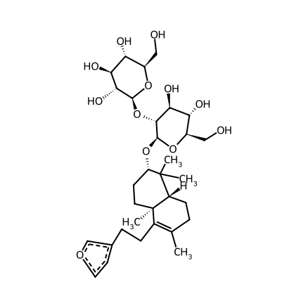 CC1=C(CCc2ccoc2)[C@@]2(C)CC[C@H](O[C@@H]3O[C@H](CO)[C@@H](O)[C@H](O)[C@H]3O[C@@H]3O[C@H](CO)[C@@H](O)[C@H](O)[C@H]3O)C(C)(C)[C@@H]2CC1